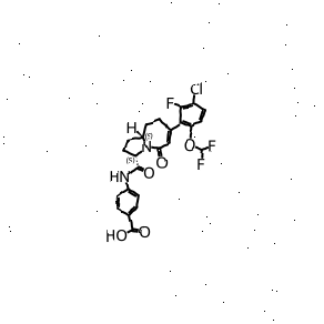 O=C(O)c1ccc(NC(=O)[C@@H]2CC[C@@H]3CCC(c4c(OC(F)F)ccc(Cl)c4F)=CC(=O)N32)cc1